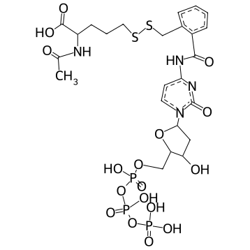 CC(=O)NC(CCCSSCc1ccccc1C(=O)Nc1ccn(C2CC(O)C(COP(=O)(O)OP(=O)(O)OP(=O)(O)O)O2)c(=O)n1)C(=O)O